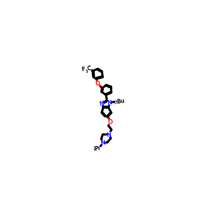 CCCCn1c(-c2cccc(Oc3cccc(C(F)(F)F)c3)c2)nc2ccc(OCCN3CCN(C(C)C)CC3)cc21